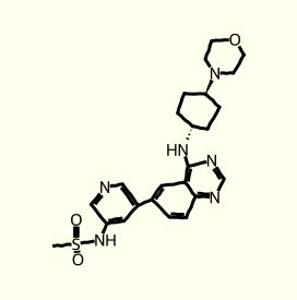 CS(=O)(=O)Nc1cncc(-c2ccc3ncnc(N[C@H]4CC[C@H](N5CCOCC5)CC4)c3c2)c1